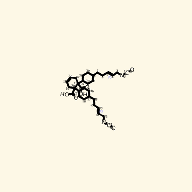 O=C=NC/C=C/CCC1CCC(C2(C(=O)O)CC=CCC2(C(=O)O)C2CCC(CC/C=C/CN=C=O)CC2)CC1